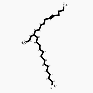 [CH2]CCCC#CCCCCCC(CCC)CCCCCCCCCCCCC[CH2]